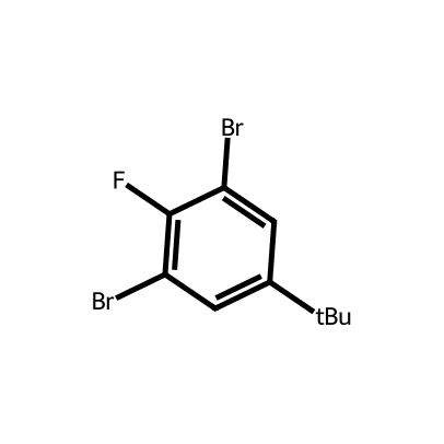 CC(C)(C)c1cc(Br)c(F)c(Br)c1